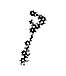 Cc1c(OCCCC[C@@H]2CCCN(CC(=O)Nc3cccc4c(C5CCC(=O)NC5=O)nn(C)c34)C2)cccc1-c1ccc(N2CCc3cccc(C(=O)Nc4nc5ccccc5s4)c3C2)nc1C(=O)OC(C)(C)C